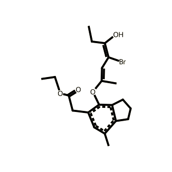 CCOC(=O)Cc1cc(C)c2c(c1O/C(C)=C/C(Br)=C(/O)CC)CCC2